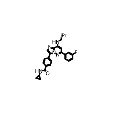 CC(C)CNc1cc(-c2cccc(F)c2)nn2c(-c3ccc(C(=O)NC4CC4)cc3)cnc12